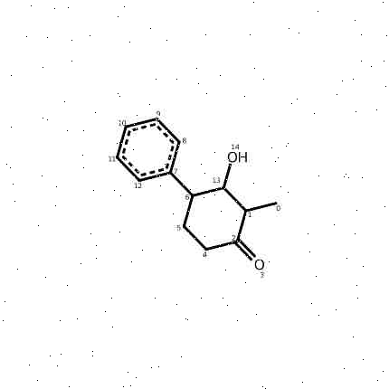 CC1C(=O)CCC(c2ccccc2)C1O